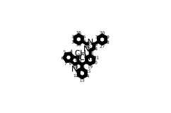 CC1(C)c2ccccc2-c2nc3ccccc3c(-c3cccc(-c4cc(-c5ccccc5)nc(-c5ccccc5)n4)c3)c21